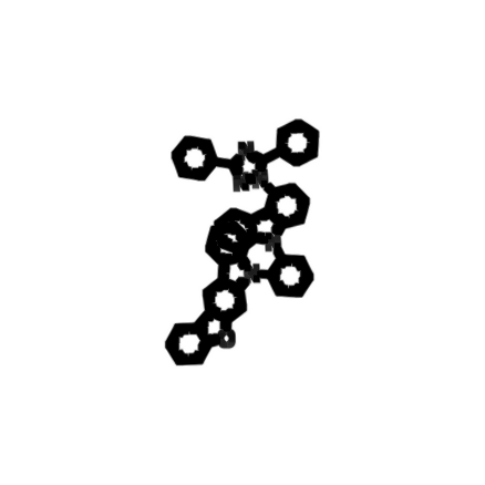 c1ccc(-c2nc(-c3ccccc3)n(-c3cccc4c3c3ccccc3n4-c3ccccc3-n3c4ccccc4c4cc5c(cc43)oc3ccccc35)n2)cc1